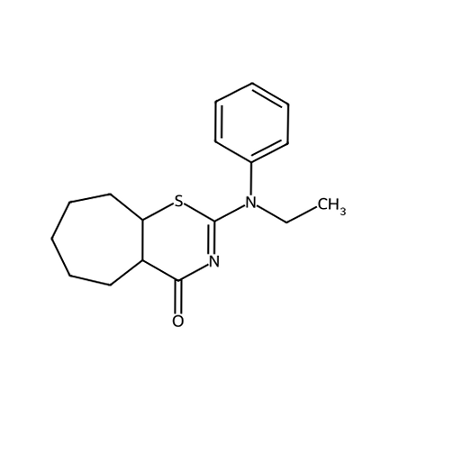 CCN(C1=NC(=O)C2CCCCCC2S1)c1ccccc1